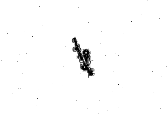 COCCOC(=O)OCCN(C)C(=O)n1c([S@+]([O-])Cc2nccc(OCC(C)(F)F)c2C)nc2ccccc21